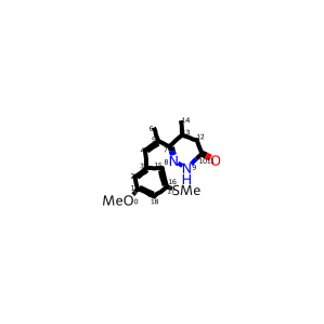 COc1cc(C=C(C)C2=NNC(=O)CC2C)cc(SC)c1